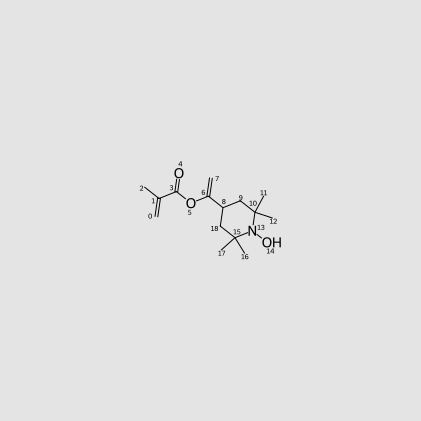 C=C(C)C(=O)OC(=C)C1CC(C)(C)N(O)C(C)(C)C1